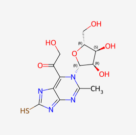 Cc1nc2nc(S)nc-2c(C(=O)CO)n1[C@@H]1O[C@H](CO)[C@@H](O)[C@H]1O